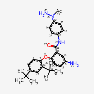 CCC(C)(C)c1ccc(Oc2ccc(N)cc2C(=O)Nc2ccc(N(N)C(C)=O)cc2)c(C(C)(C)CC)c1